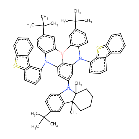 CC(C)(C)c1ccc2c(c1)B1c3cc(C(C)(C)C)ccc3N(c3cccc4sc5ccccc5c34)c3cc(N4c5ccc(C(C)(C)C)cc5C5(C)CCCCC45C)cc(c31)N2c1cccc2c1sc1ccccc12